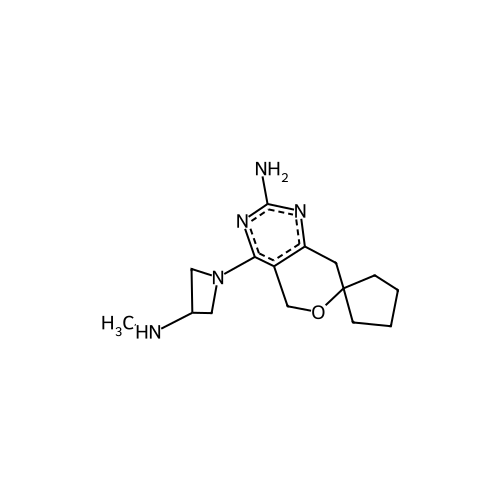 CNC1CN(c2nc(N)nc3c2COC2(CCCC2)C3)C1